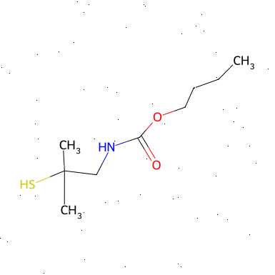 CCCCOC(=O)NCC(C)(C)S